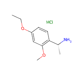 CCOc1ccc([C@@H](C)N)c(OC)c1.Cl